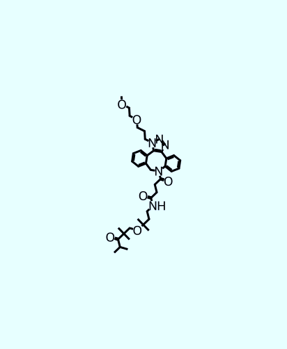 COCCOCCCn1nnc2c1-c1ccccc1CN(C(=O)CCC(=O)NCCC(C)(C)OCC(C)(C)C(=O)C(C)C)c1ccccc1-2